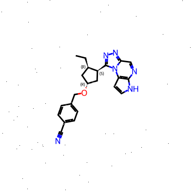 CC[C@@H]1C[C@@H](OCc2ccc(C#N)cc2)C[C@@H]1c1nnc2cnc3[nH]ccc3n12